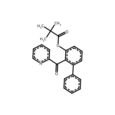 CC(C)(C)C(=O)Oc1cccc(-c2ccccc2)c1C(=O)c1ccccn1